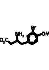 COc1ccc(CC(N)CC(=O)O)cc1Br